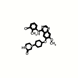 COc1cc2ncnc(Nc3cccc(Cl)c3C)c2cc1OC1CCC(N2CCNC(=O)C2)CC1